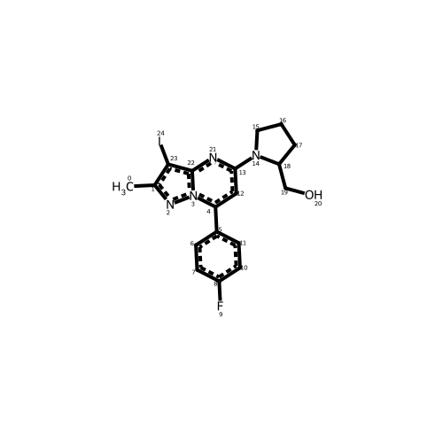 Cc1nn2c(-c3ccc(F)cc3)cc(N3CCCC3CO)nc2c1I